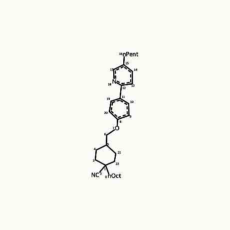 CCCCCCCCC1(C#N)CCC(COc2ccc(-c3ccc(CCCCC)cn3)cc2)CC1